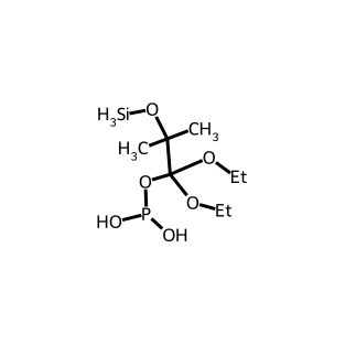 CCOC(OCC)(OP(O)O)C(C)(C)O[SiH3]